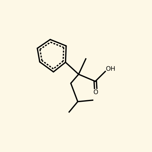 CC(C)CC(C)(C(=O)O)c1ccccc1